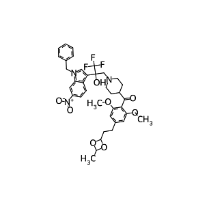 COc1cc(CCC2OC(C)O2)cc(OC)c1C(=O)C1CCN(CC(O)(c2cn(Cc3ccccc3)c3cc([N+](=O)[O-])ccc23)C(F)(F)F)CC1